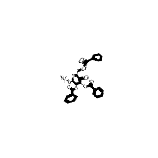 CO[C@@H]1O[C@H](COC(=O)c2ccccc2)C(=O)[C@H](OC(=O)c2ccccc2)[C@H]1OC(=O)c1ccccc1